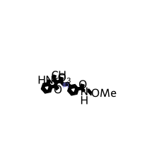 COCCNC(=O)c1cccc(/C=C/C(=O)c2c(C)[nH]c3ccccc3c2=O)c1